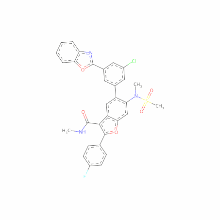 CNC(=O)c1c(-c2ccc(F)cc2)oc2cc(N(C)S(C)(=O)=O)c(-c3cc(Cl)cc(-c4nc5ccccc5o4)c3)cc12